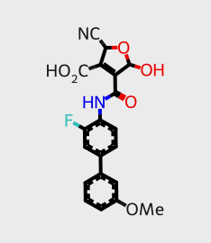 COc1cccc(-c2ccc(NC(=O)C3=C(C(=O)O)C(C#N)OC3O)c(F)c2)c1